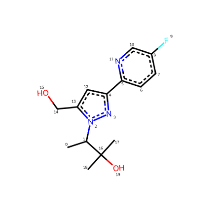 CC(n1nc(-c2ccc(F)cn2)cc1CO)C(C)(C)O